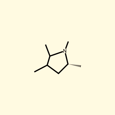 CC1C[C@@H](C)N(C)C1C